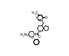 Cc1cc(=O)n(CC2CCN(C(=O)N3CC[C@@H](N)C[C@H]3c3ccccc3)CC23CCCC3)cn1